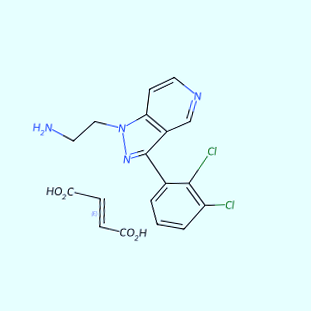 NCCn1nc(-c2cccc(Cl)c2Cl)c2cnccc21.O=C(O)/C=C/C(=O)O